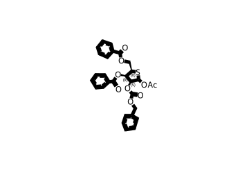 CC(=O)OC1S[C@H](COC(=O)c2ccccc2)[C@H](OC(=O)c2ccccc2)[C@@H]1OC(=O)OCc1ccccc1